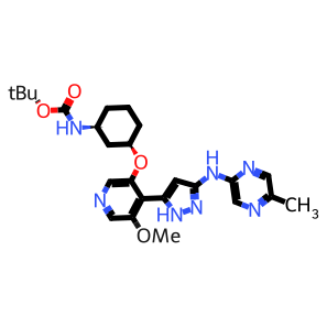 COc1cncc(O[C@@H]2CCC[C@H](NC(=O)OC(C)(C)C)C2)c1-c1cc(Nc2cnc(C)cn2)n[nH]1